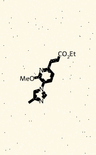 CCOC(=O)/C=C/c1ccc(-n2cnc(C)c2)c(OC)n1